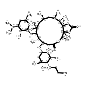 CC[C@H]1OC(=O)[C@H](C)[C@@H](O[C@H]2C[C@@](C)(OC)[C@@H](OCCC#N)[C@H](C)O2)[C@H](C)[C@@H](O[C@@H]2O[C@H](C)C[C@H](N(C)C)[C@H]2O)[C@](C)(O)C[C@@H](C)CN(C)[C@H](C)[C@H]2OC(=O)O[C@@]21C